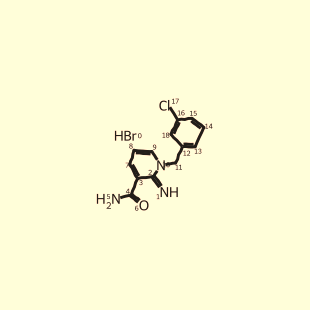 Br.N=c1c(C(N)=O)cccn1Cc1cccc(Cl)c1